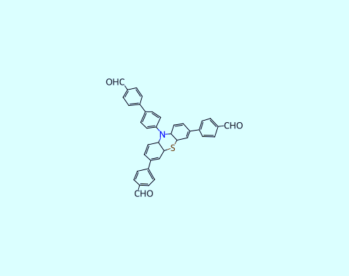 O=Cc1ccc(C2=CC3SC4C=C(c5ccc(C=O)cc5)C=CC4N(c4ccc(-c5ccc(C=O)cc5)cc4)C3C=C2)cc1